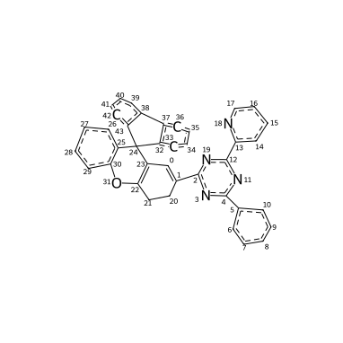 C1=C(c2nc(-c3ccccc3)nc(-c3ccccn3)n2)CCC2=C1C1(c3ccccc3O2)c2ccccc2-c2ccccc21